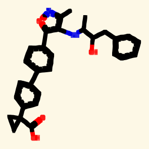 Cc1noc(-c2ccc(-c3ccc(C4(C(=O)O)CC4)cc3)cc2)c1NC(C)C(O)Cc1ccccc1